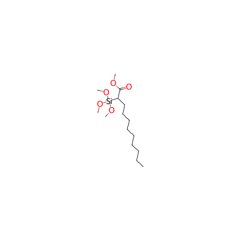 CCCCCCCCCC(C(=O)OC)[Si](OC)(OC)OC